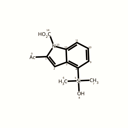 CC(=O)c1cc2c([Si](C)(C)O)cccc2n1C(=O)O